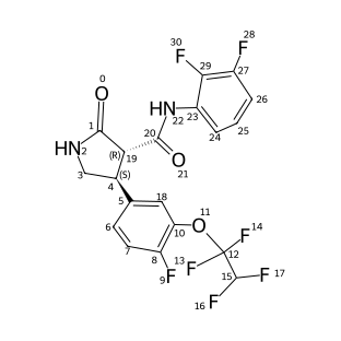 O=C1NC[C@H](c2ccc(F)c(OC(F)(F)C(F)F)c2)[C@H]1C(=O)Nc1cccc(F)c1F